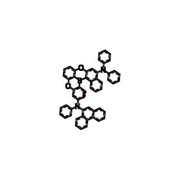 c1ccc(N(c2ccccc2)c2cc3c(c4ccccc24)B2c4c(cccc4Oc4cc(N(c5ccccc5)c5cc6ccccc6c6ccccc56)c5ccccc5c42)O3)cc1